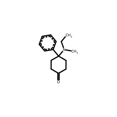 CCN(C)C1(c2ccccc2)CCC(=O)CC1